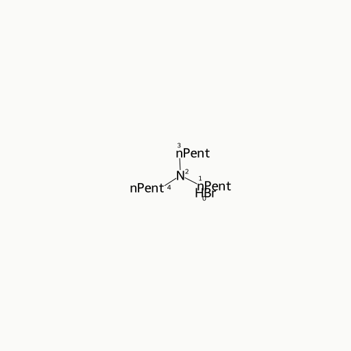 Br.CCCCCN(CCCCC)CCCCC